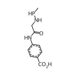 CPNCC(=O)Nc1ccc(C(=O)O)cc1